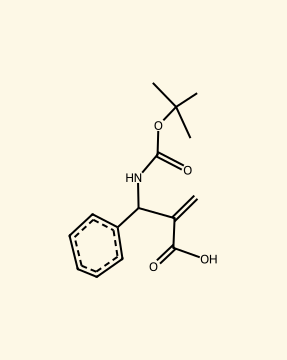 C=C(C(=O)O)C(NC(=O)OC(C)(C)C)c1ccccc1